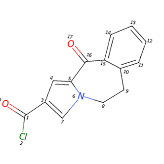 O=C(Cl)c1cc2n(c1)CCc1ccccc1C2=O